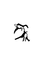 CCC1=[C]SC(C)N1c1sc(C)nc1C